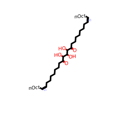 CCCCCCCC/C=C\CCCCCCCC(=O)C(O)C(O)C(O)C(=O)CCCCCCC/C=C\CCCCCCCC